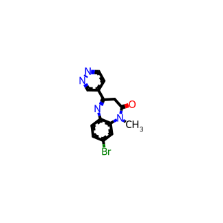 CN1C(=O)CC(c2ccnnc2)=Nc2ccc(Br)cc21